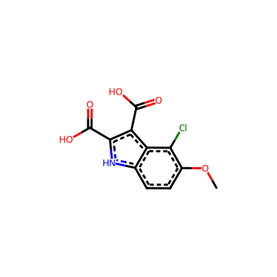 COc1ccc2[nH]c(C(=O)O)c(C(=O)O)c2c1Cl